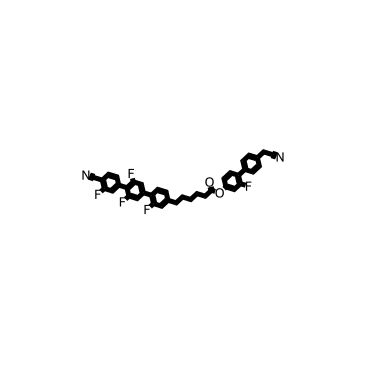 N#CCc1ccc(-c2ccc(OC(=O)CCCCCc3ccc(-c4cc(F)c(-c5ccc(C#N)c(F)c5)c(F)c4)c(F)c3)cc2F)cc1